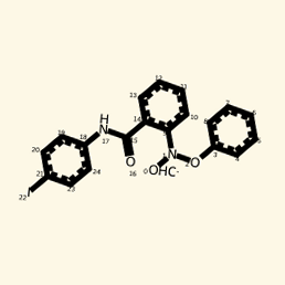 O=[C]N(Oc1ccccc1)c1ccccc1C(=O)Nc1ccc(I)cc1